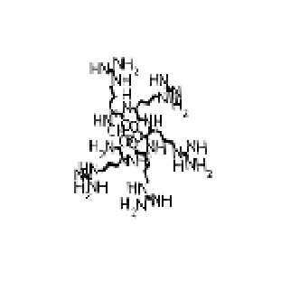 CN[C@@H](CCCNC(=N)N)C(=O)N[C@@H](CCCNC(=N)N)C(=O)N[C@@H](CCCNC(=N)N)C(=O)N[C@@H](CCCNC(=N)N)C(=O)N[C@@H](CCCNC(=N)N)C(N)=O